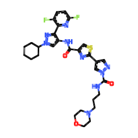 O=C(Nc1cn(C2CCCCC2)nc1-c1nc(F)ccc1F)c1csc(-c2cnn(C(=O)NCCCN3CCOCC3)c2)n1